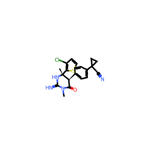 CN1C(=N)N[C@](C)(c2sccc2Cl)[C@@H](c2ccc(C3(C#N)CC3)cc2)C1=O